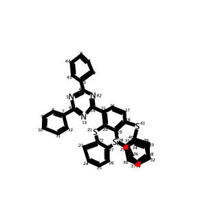 c1ccc(-c2nc(-c3ccccc3)nc(-c3ccc4c5c3Sc3ccccc3[Si]5(c3ccccc3)c3ccccc3S4)n2)cc1